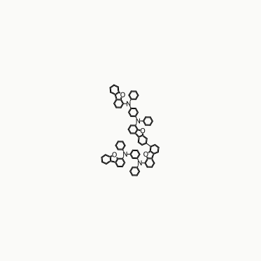 c1ccc(N(c2ccc(N(c3ccccc3)c3cccc4c3oc3cc(-c5cccc6c5oc5c(N(c7ccccc7)c7cccc(N(c8ccccc8)c8cccc9c8oc8ccccc89)c7)cccc56)ccc34)cc2)c2cccc3c2oc2ccccc23)cc1